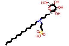 CCCCCCCCCCCCCCN(CCCC[C@@H]1O[C@H](CO)[C@@H](O)[C@H](O)[C@H]1O)CCCS(=O)(=O)O